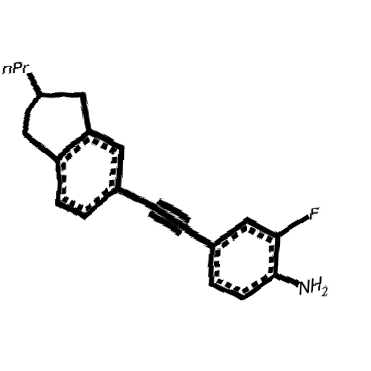 CCCC1Cc2ccc(C#Cc3ccc(N)c(F)c3)cc2C1